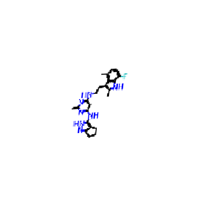 Cc1nc(NCCc2c(C)[nH]c3c(F)ccc(C)c23)cc(Nc2[nH]nc3c2CCC3)n1